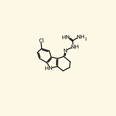 N=C(N)NN=C1CCCc2[nH]c3ccc(Cl)cc3c21